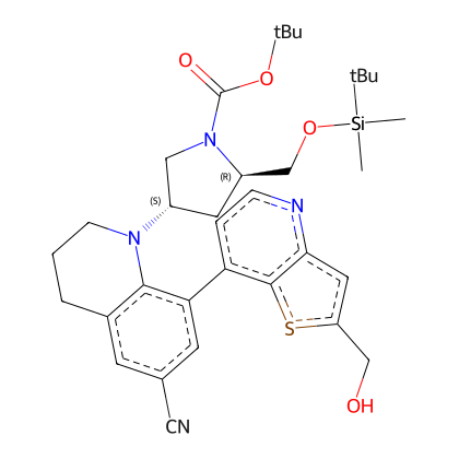 CC(C)(C)OC(=O)N1C[C@@H](N2CCCc3cc(C#N)cc(-c4ccnc5cc(CO)sc45)c32)C[C@@H]1CO[Si](C)(C)C(C)(C)C